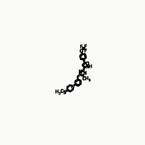 CSC1CCN(c2cccc(Cn3nc(C4C=C(c5ccc(OC(F)(F)F)cc5)ON4)nc3C)c2)CC1